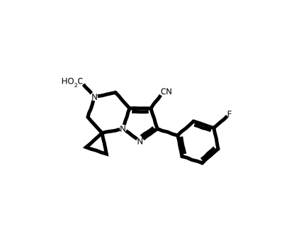 N#Cc1c(-c2cccc(F)c2)nn2c1CN(C(=O)O)CC21CC1